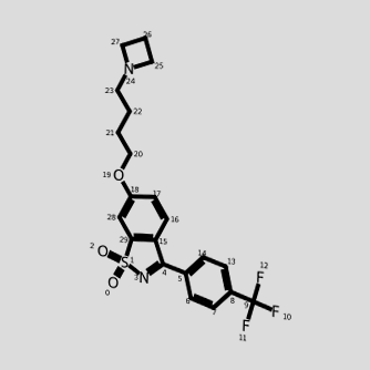 O=S1(=O)N=C(c2ccc(C(F)(F)F)cc2)c2ccc(OCCCCN3CCC3)cc21